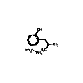 CCOC(N)=O.CN(C)Cc1ccccc1O